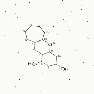 OC1CC(O)C2CC3CCCCCC3OC2C1